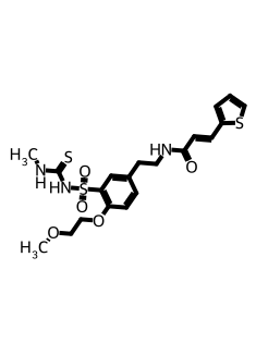 CNC(=S)NS(=O)(=O)c1cc(CCNC(=O)C=Cc2cccs2)ccc1OCCOC